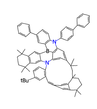 CC(C)(C)c1ccc2c(c1)-c1ccc3c(c1)C(C)(C)CCC3(C)CC(C)(C)c1cc3c4c(c1)N2c1cc2c(cc1B4c1cc(-c4ccccc4)ccc1N3c1ccc(-c3ccccc3)cc1)C(C)(C)CCC2(C)C